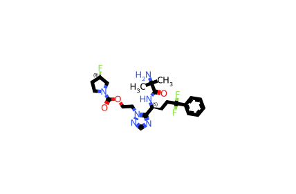 CC(C)(N)C(=O)N[C@@H](CCC(F)(F)c1ccccc1)c1ncnn1CCOC(=O)N1CC[C@@H](F)C1